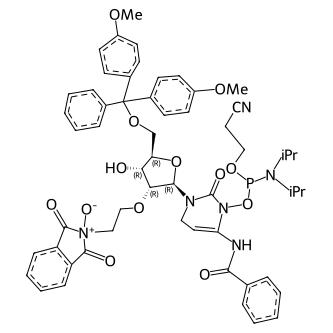 COc1ccc(C(OC[C@H]2O[C@@H](N3CC=C(NC(=O)c4ccccc4)N(OP(OCCC#N)N(C(C)C)C(C)C)C3=O)[C@H](OCC[N+]3([O-])C(=O)c4ccccc4C3=O)[C@@H]2O)(c2ccccc2)c2ccc(OC)cc2)cc1